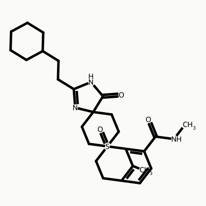 CNC(=O)c1ccc2c(C)c1S1(=O)(CC2)CCC2(CC1)N=C(CCC1CCCCC1)NC2=O